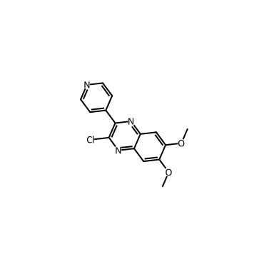 COc1cc2nc(Cl)c(-c3ccncc3)nc2cc1OC